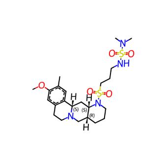 COc1cc2c(cc1C)[C@@H]1C[C@H]3[C@H](CCCN3S(=O)(=O)CCCNS(=O)(=O)N(C)C)CN1CC2